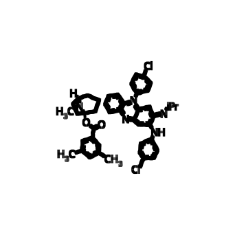 CC(C)/N=c1\cc2n(-c3ccc(Cl)cc3)c3ccccc3nc-2cc1Nc1ccc(Cl)cc1.Cc1cc(C)cc(C(=O)O[C@]23CCC[C@H](CC2)N3C)c1